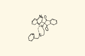 O=C1c2ccccc2C(=O)C1(c1cnc2ccccc2n1)N1CCN(Cc2ccccc2)CC1